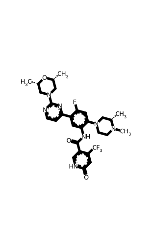 C[C@@H]1CN(c2nccc(-c3cc(NC(=O)c4c[nH]c(=O)cc4C(F)(F)F)c(N4CCN(C)[C@@H](C)C4)cc3F)n2)C[C@H](C)O1